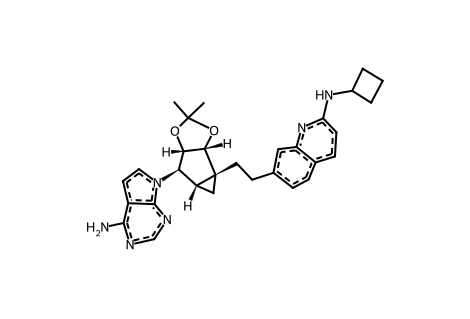 CC1(C)O[C@H]2[C@H](n3ccc4c(N)ncnc43)[C@H]3C[C@@]3(CCc3ccc4ccc(NC5CCC5)nc4c3)[C@H]2O1